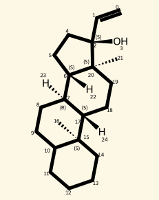 C=C[C@@]1(O)CC[C@H]2[C@@H]3CCC4CCCC[C@]4(C)[C@H]3CC[C@@]21C